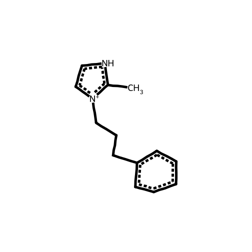 Cc1[nH]cc[n+]1CCCc1ccccc1